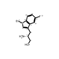 CCn1cc(C[C@@H](N)CO)c2cc(F)ccc21